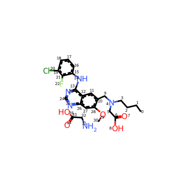 CCCCN(CC(=O)O)Cc1cc2c(Nc3cccc(Cl)c3F)ncnc2cc1OC.NCC(=O)O